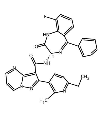 CCc1ccc(-c2nn3cccnc3c2C(=O)N[C@H]2N=C(c3ccccc3)c3cccc(F)c3NC2=O)c(C)n1